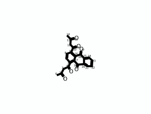 CC(=O)CC(=O)c1ccc(C(=O)CC(C)=O)c2c1C(=O)c1ccccc1C2=O